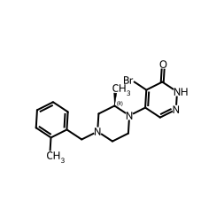 Cc1ccccc1CN1CCN(c2cn[nH]c(=O)c2Br)[C@H](C)C1